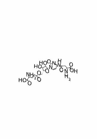 N[C@@H](CCC(=O)OC[C@H]1O[C@@H](n2ccc(NC(=O)C[C@H](N)C(=O)O)nc2=O)C(O)C1O)C(=O)O